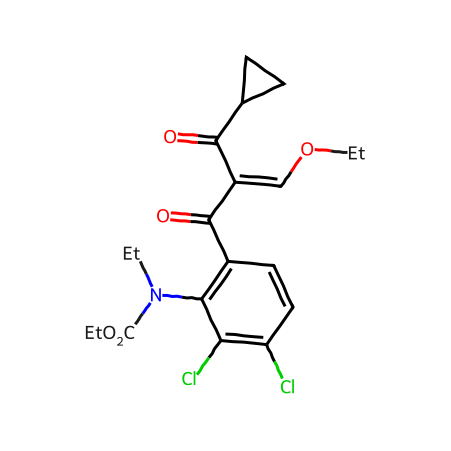 CCOC=C(C(=O)c1ccc(Cl)c(Cl)c1N(CC)C(=O)OCC)C(=O)C1CC1